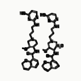 COC1CN(CCCNc2nccc(O)n2)CCC1NC(=O)c1cccc2c1OCC=C2.COC1CN(CCCNc2nccc(O)n2)CCC1NC(=O)c1cccc2c1OCC=C2.O